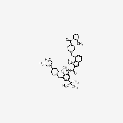 CCN(CC)C1CCN(Cc2cc(C(C)(C)C)cc(NC(=O)c3cc4cccc(CN5CCN(C(=O)[C@@H]6CCCN6C)CC5)c4n3C)c2OC)CC1